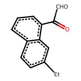 CCc1ccc2cccc(C(=O)C=O)c2c1